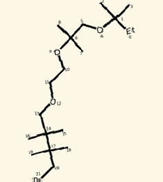 CCC(C)(C)OCC(C)(C)OCCOCC(C)(C)C(C)(C)CC(C)C